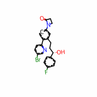 O=C1CCN1c1ccc(-c2ccc(Br)cn2)c(CC[C@H](O)c2ccc(F)cc2)c1